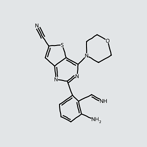 N#Cc1cc2nc(-c3cccc(N)c3C=N)nc(N3CCOCC3)c2s1